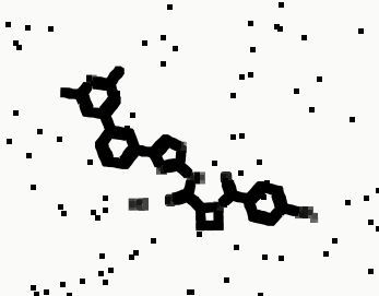 Cc1cc(-c2cccc(-c3csc(NC(=O)C4CCN4C(=O)c4ccc(N)cc4)n3)c2)cc(C)n1.Cl